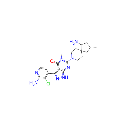 C[C@H]1CC(N)C2(CCN(c3nc4[nH]nc(-c5ccnc(N)c5Cl)c4c(=O)n3C)CC2)C1